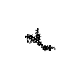 COC(=O)C(Cc1ccc(C(F)(F)F)cc1)NC(=O)C(Cc1ccc(OCCF)cc1)n1cc(COc2ccc3nc(S(N)(=O)=O)sc3c2)nn1